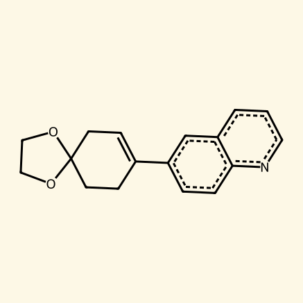 C1=C(c2ccc3ncccc3c2)CCC2(C1)OCCO2